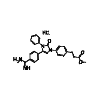 COC(=O)CCc1ccc(-n2cc(-c3ccc(C(=N)N)cc3)n(-c3ccccc3)c2=O)cc1.Cl